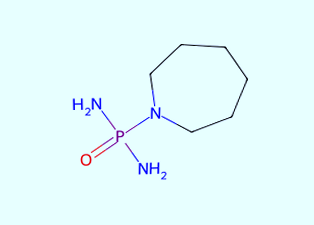 NP(N)(=O)N1CCCCCC1